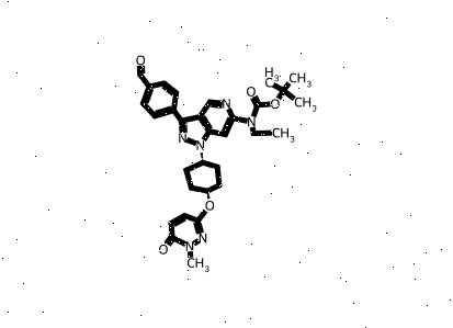 CCN(C(=O)OC(C)(C)C)c1cc2c(cn1)c(-c1ccc(C=O)cc1)nn2[C@H]1CC[C@@H](Oc2ccc(=O)n(C)n2)CC1